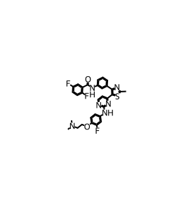 Cc1nc(-c2cccc(NC(=O)c3cc(F)ccc3F)c2)c(-c2ccnc(Nc3ccc(OCCN(C)C)c(F)c3)n2)s1